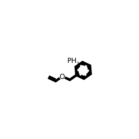 C=COCc1ccccc1.P